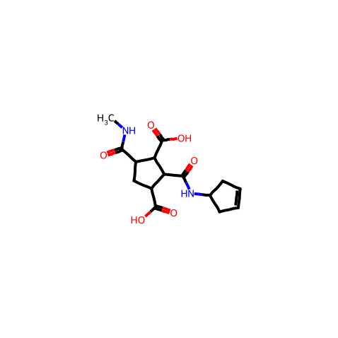 CNC(=O)C1CC(C(=O)O)C(C(=O)NC2CC=CC2)C1C(=O)O